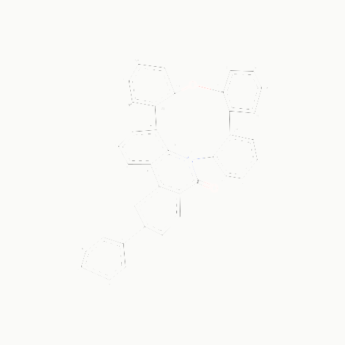 O=c1c2ccc(-c3ccccc3)cc2c2cccc3c2n1-c1ccccc1-c1ccccc1Oc1ccccc1-3